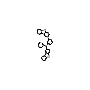 c1ccc(N(c2cccc(-c3ccc4oc5ccccc5c4c3)c2)c2ccc3sc4ccccc4c3c2)cc1